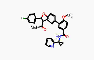 CNC(=O)C1c2cc(-c3cc(C(=O)NC4(c5ccccn5)CC4)ccc3OC(F)(F)F)ccc2OC1c1ccc(F)cc1